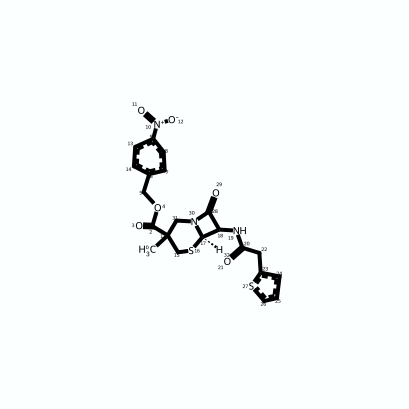 CC1(C(=O)OCc2ccc([N+](=O)[O-])cc2)CS[C@@H]2C(NC(=O)Cc3cccs3)C(=O)N2C1